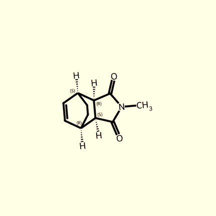 CN1C(=O)[C@@H]2[C@H](C1=O)[C@@H]1C=C[C@H]2CC1